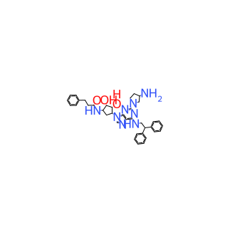 NC1CCN(c2nc(NCC(c3ccccc3)c3ccccc3)c3ncn(C4CC(NC(=O)CCc5ccccc5)C(O)C4O)c3n2)C1